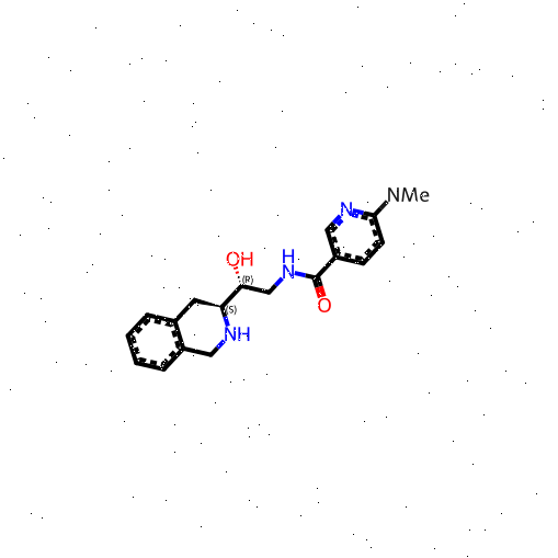 CNc1ccc(C(=O)NC[C@@H](O)[C@@H]2Cc3ccccc3CN2)cn1